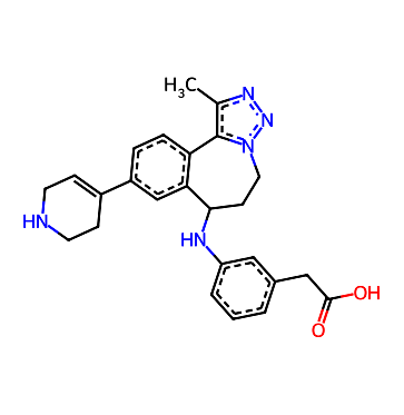 Cc1nnn2c1-c1ccc(C3=CCNCC3)cc1C(Nc1cccc(CC(=O)O)c1)CC2